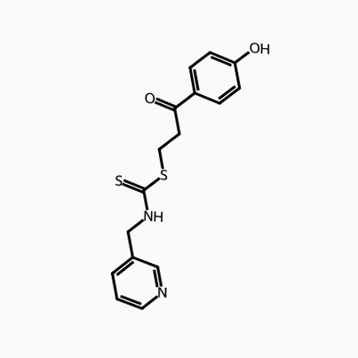 O=C(CCSC(=S)NCc1cccnc1)c1ccc(O)cc1